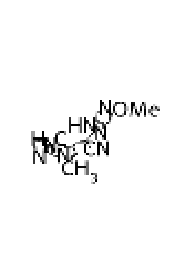 COc1cc2nc(/C(C#N)=C/c3cc(C)n(Cc4ncccn4)c3C)[nH]c2cn1